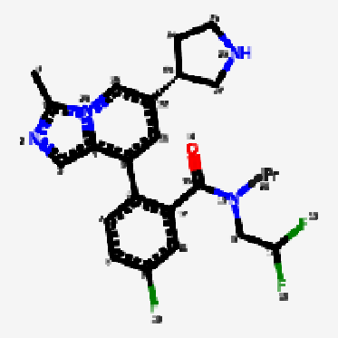 Cc1ncc2c(-c3ccc(F)cc3C(=O)N(CC(F)F)C(C)C)cc([C@@H]3CCNC3)cn12